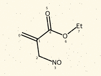 C=C(CN=O)C(=O)OCC